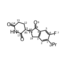 CC(C)c1cc2c(cc1F)C(=O)N([C@@H]1CCC(=O)NC1=O)C2